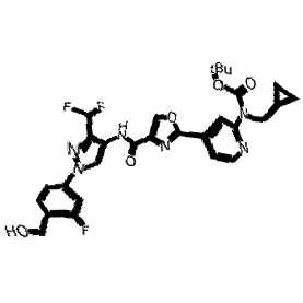 CC(C)(C)OC(=O)N(CC1CC1)c1cc(-c2nc(C(=O)Nc3cn(-c4ccc(CO)c(F)c4)nc3C(F)F)co2)ccn1